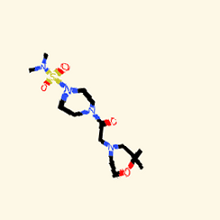 CN(C)S(=O)(=O)N1CCN(C(=O)CN2CCOC(C)(C)C2)CC1